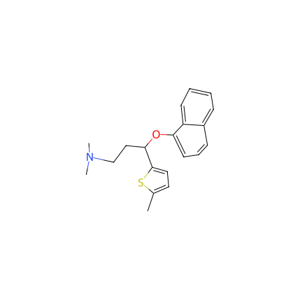 Cc1ccc(C(CCN(C)C)Oc2cccc3ccccc23)s1